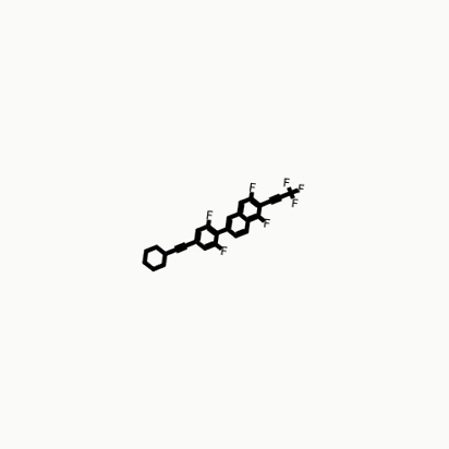 Fc1cc2cc(-c3c(F)cc(C#CC4CCCCC4)cc3F)ccc2c(F)c1C#CC(F)(F)F